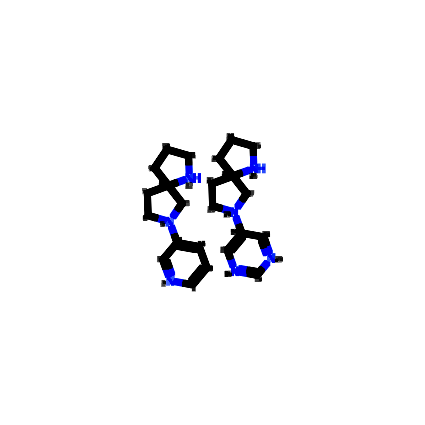 c1cncc(N2CCC3(CCCN3)C2)c1.c1ncc(N2CCC3(CCCN3)C2)cn1